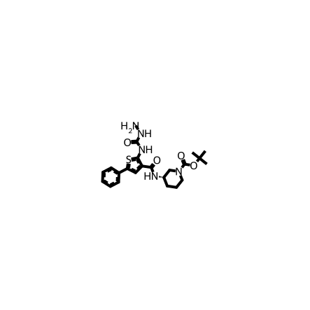 CC(C)(C)OC(=O)N1CCC[C@H](NC(=O)c2cc(-c3ccccc3)sc2NC(=O)NN)C1